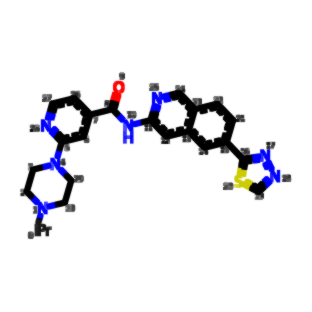 CC(C)N1CCN(c2cc(C(=O)Nc3cc4cc(-c5nncs5)ccc4cn3)ccn2)CC1